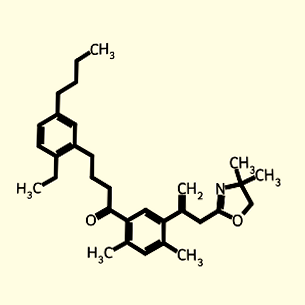 C=C(CC1=NC(C)(C)CO1)c1cc(C(=O)CCCc2cc(CCCC)ccc2CC)c(C)cc1C